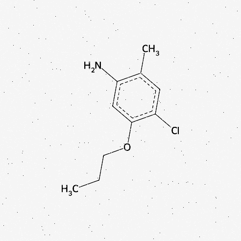 CCCOc1cc(N)c(C)cc1Cl